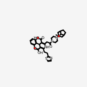 COC1C2CCC1CC(N1CCN(C(=O)CC3=C(C(=O)O)C(c4c(Cl)cccc4Cl)C(C(=O)O)=C(CCc4nccs4)N3)CC1)C2